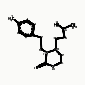 Cc1ccc(CCN2C(=O)SCCN2CCC(C)O)cc1